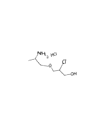 CC(N)COCC(Cl)CO.Cl